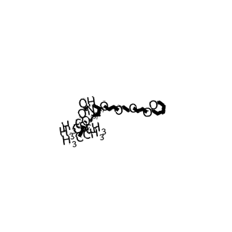 CC(C)(C)[Si](C)(C)OC[C@@H]1C[C@@H](OCCOCCOCCOC2CCCCO2)CN1C(=O)O